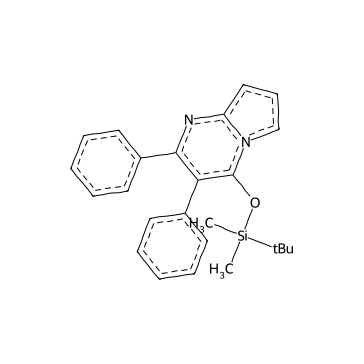 CC(C)(C)[Si](C)(C)Oc1c(-c2ccccc2)c(-c2ccccc2)nc2cccn12